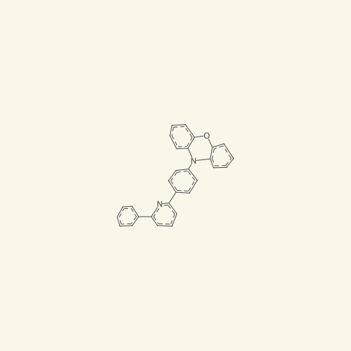 c1ccc(-c2cccc(-c3ccc(N4c5ccccc5Oc5ccccc54)cc3)n2)cc1